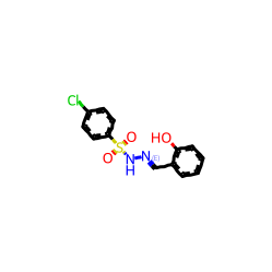 O=S(=O)(N/N=C/c1ccccc1O)c1ccc(Cl)cc1